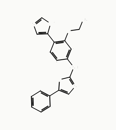 N#CCOc1cc(Nc2ncc(-c3ccccc3)o2)ccc1-c1cnco1